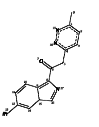 Cc1ccc(CC(=O)C2=C3C=CC(C(C)C)=CC3C=N2)nn1